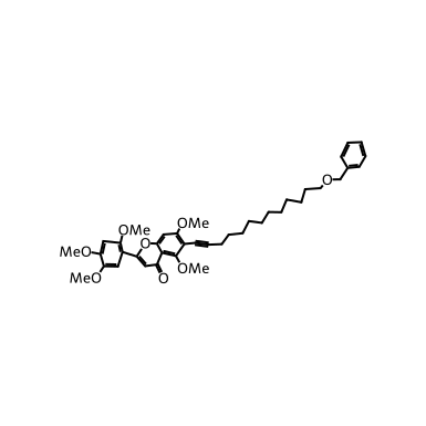 COc1cc(OC)c(-c2cc(=O)c3c(OC)c(C#CCCCCCCCCCCCOCc4ccccc4)c(OC)cc3o2)cc1OC